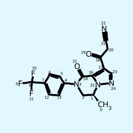 C[C@H]1CN(c2ccc(C(F)(F)F)cc2)C(=O)c2c(C(=O)CC#N)cnn21